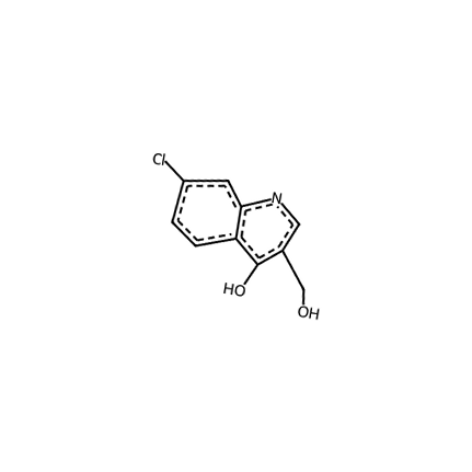 OCc1cnc2cc(Cl)ccc2c1O